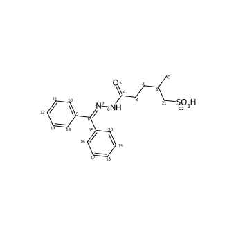 CC(CCC(=O)NN=C(c1ccccc1)c1ccccc1)CS(=O)(=O)O